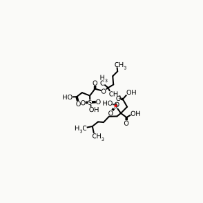 CC(C)CCCCC(CC(=O)O)(C(=O)O)S(=O)(=O)O.CCCCC(C)(C)OC(=O)C(CC(=O)O)S(=O)(=O)O